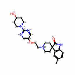 Cc1ccc2c(c1)C1(CCN(CCOc3cnc(N4CCC(O)CC4)nc3)CC1)C(=O)N2